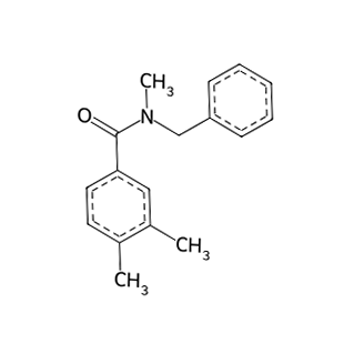 Cc1ccc(C(=O)N(C)Cc2ccccc2)cc1C